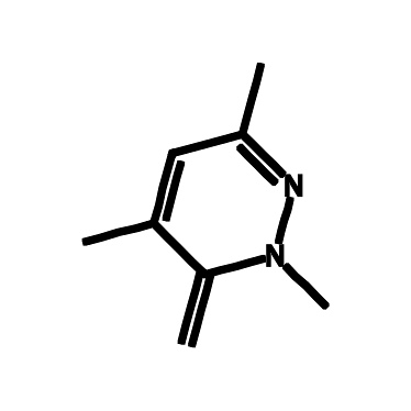 C=C1C(C)=CC(C)=NN1C